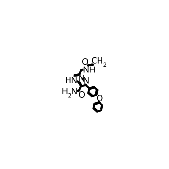 C=CC(=O)NCc1c[nH]c2c(C(N)=O)c(-c3ccc(Oc4ccccc4)cc3)nn12